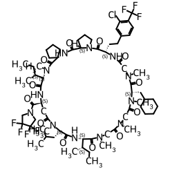 CC[C@H](C)[C@@H]1NC(=O)[C@H](CC(C)C)N(C)C(=O)C[C@@H](C(=O)N2CC(F)(F)C(F)(F)C2)NC(=O)[C@H]([C@@H](C)CC)N(C)C(=O)C2(CCCC2)NC(=O)[C@@H]2CCCN2C(=O)[C@H](CCc2ccc(C(F)(F)F)c(Cl)c2)NC(=O)CN(C)C(=O)[C@H](CC2CCCCC2)N(C)C(=O)CN(C)C(=O)CN(C)C1=O